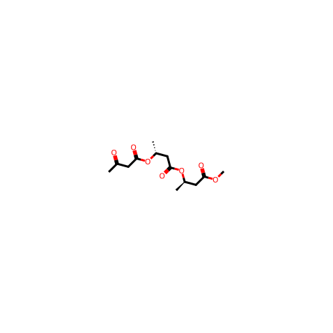 COC(=O)C[C@@H](C)OC(=O)C[C@@H](C)OC(=O)CC(C)=O